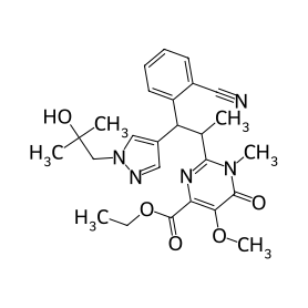 CCOC(=O)c1nc(C(C)C(c2cnn(CC(C)(C)O)c2)c2ccccc2C#N)n(C)c(=O)c1OC